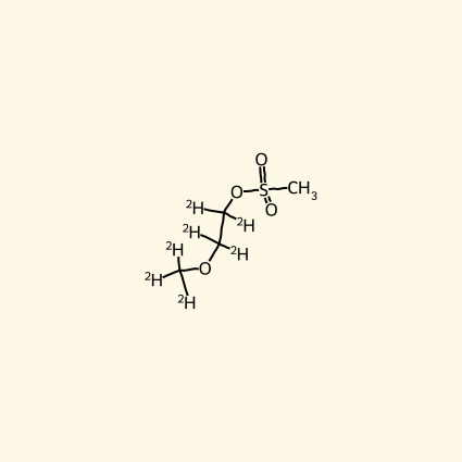 [2H]C([2H])([2H])OC([2H])([2H])C([2H])([2H])OS(C)(=O)=O